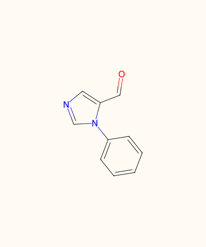 O=Cc1cncn1-c1ccccc1